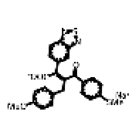 COc1ccc(CC(C(=O)c2ccc(SC)cc2)=C(C(=O)[O-])c2ccc3nsnc3c2)cc1.[Na+]